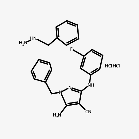 Cl.Cl.N#Cc1c(Nc2cccc(F)c2)nn(Cc2ccccc2)c1N.NNCc1ccccc1